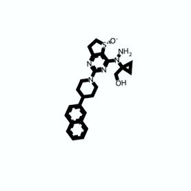 NN(c1nc(N2CCC(c3ccc4ccccc4c3)CC2)nc2c1[S+]([O-])CC2)C1(CO)CC1